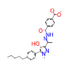 CCCCCc1ccc(-c2c(O)c(C(C)=NNC(=O)c3ccc(C(=O)OC)cc3)nn2C)cc1